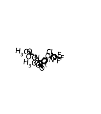 COC(=O)CON=C(OC)c1cc(Oc2ncc(C(F)(F)F)cc2Cl)ccc1[N+](=O)[O-]